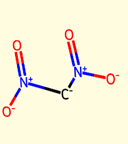 O=[N+]([O-])[CH-][N+](=O)[O-]